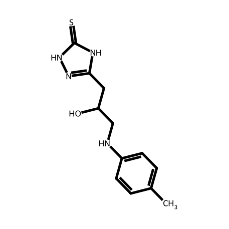 Cc1ccc(NCC(O)Cc2n[nH]c(=S)[nH]2)cc1